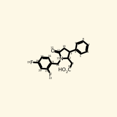 O=C(O)CC1C(c2ccccc2)CC(=O)N1Cc1ccc(F)cc1F